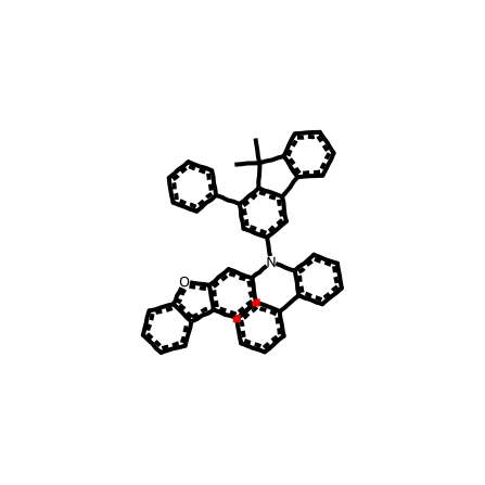 CC1(C)c2ccccc2-c2cc(N(c3ccc4c(c3)oc3ccccc34)c3ccccc3-c3ccccc3)cc(-c3ccccc3)c21